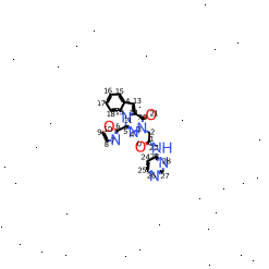 O=C(Cn1nc(-c2ncco2)n2c(cc3ccccc32)c1=O)Nc1ccncn1